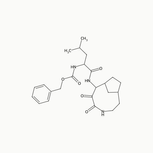 CC(C)CC(NC(=O)OCc1ccccc1)C(=O)NC1C(=O)C(=O)NCCC2CCC1C2